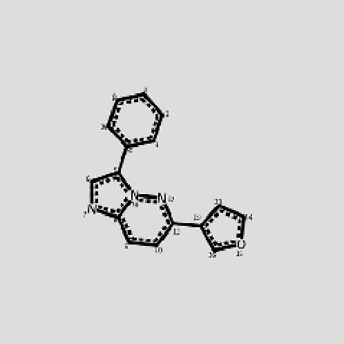 [c]1cccc(-c2cnc3ccc(-c4ccoc4)nn23)c1